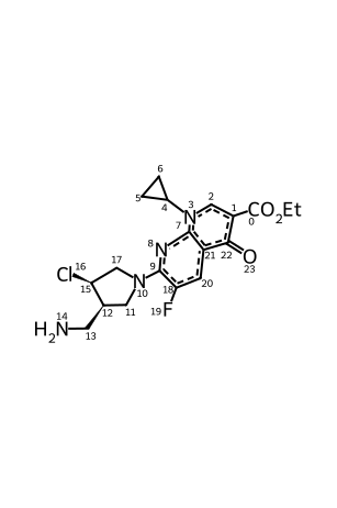 CCOC(=O)c1cn(C2CC2)c2nc(N3C[C@@H](CN)[C@@H](Cl)C3)c(F)cc2c1=O